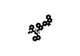 C=C/C=C(/c1cc(-c2cccc3ccccc23)nc(-c2ccc(-c3ccc4c(c3)C(C)(C)c3ccc5ccccc5c3-4)c3ccccc23)n1)c1ccccc1C